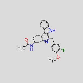 COc1ccc(Cc2nc3c(c4c2[nH]c2ccccc24)CCC(NC(C)=O)C3)cc1F